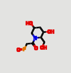 O=PCC(=O)N1CC(O)CC(O)C1CO